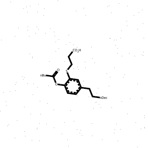 CCCCCCCCCCCCc1ccc(OC(=O)CCCC)c(SCCC(=O)O)c1